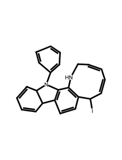 IC1/C=C\C=C/CNc2c1ccc1c2N(c2ccccc2)C2C=CC=CC12